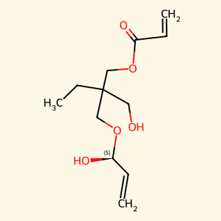 C=CC(=O)OCC(CC)(CO)CO[C@H](O)C=C